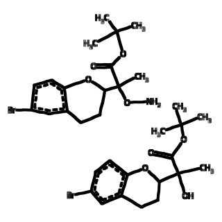 CC(C)(C)OC(=O)C(C)(O)C1CCc2cc(Br)ccc2O1.CC(C)(C)OC(=O)C(C)(ON)C1CCc2cc(Br)ccc2O1